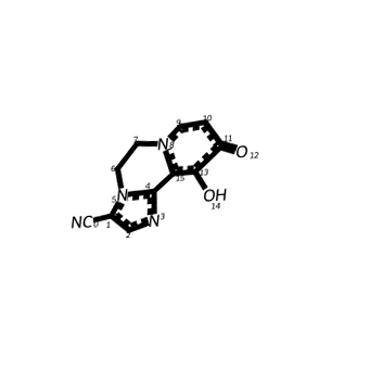 N#Cc1cnc2n1CCn1ccc(=O)c(O)c1-2